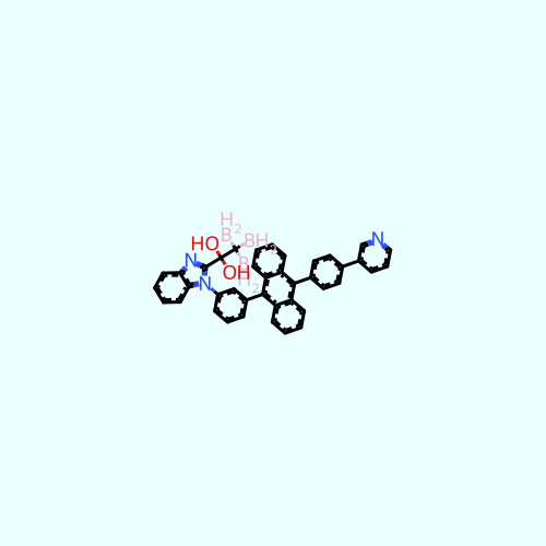 BC(B)(B)C(O)(O)c1nc2ccccc2n1-c1cccc(-c2c3ccccc3c(-c3ccc(-c4cccnc4)cc3)c3ccccc23)c1